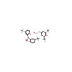 CC(C)(C)c1ccc(OC(=O)CCc2cc(C(C)(C)C)c(O)c(C(C)(C)C)c2)c(C2C(=O)Oc3ccc(C(C)(C)C)cc32)c1